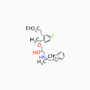 CCOC(=O)CCc1cc(F)ccc1C(C)OCC(O)CNC(C)(C)CC1Cc2ccccc2C1